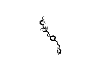 Clc1ccc(-c2nc(COc3ccc(CCCn4ccnc4)cc3)co2)s1